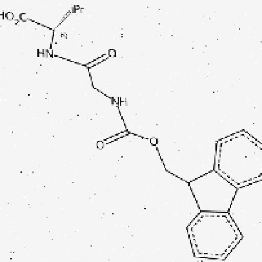 CC(C)[C@H](NC(=O)CNC(=O)OCC1c2ccccc2-c2ccccc21)C(=O)O